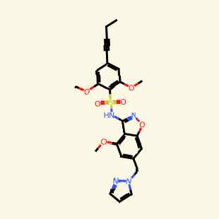 CCC#Cc1cc(OC)c(S(=O)(=O)Nc2noc3cc(Cn4cccn4)cc(OC)c23)c(OC)c1